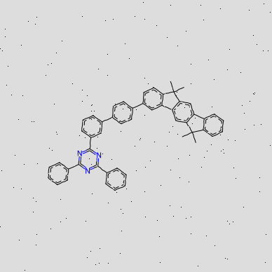 CC1(C)c2ccccc2-c2cc3c(cc21)-c1cc(-c2ccc(-c4cccc(-c5nc(-c6ccccc6)nc(-c6ccccc6)n5)c4)cc2)ccc1C3(C)C